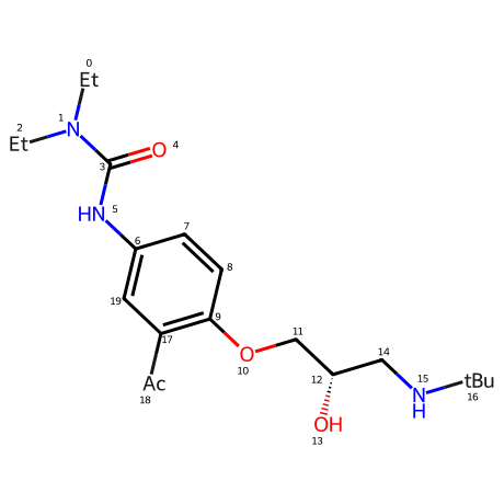 CCN(CC)C(=O)Nc1ccc(OC[C@@H](O)CNC(C)(C)C)c(C(C)=O)c1